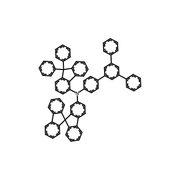 c1ccc(-c2cc(-c3ccccc3)cc(-c3ccc(N(c4ccc5c(c4)C4(c6ccccc6-c6ccccc64)c4ccccc4-5)c4cccc5c4-c4ccccc4C5(c4ccccc4)c4ccccc4)cc3)c2)cc1